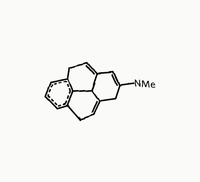 CNC1=CC2=CCc3cccc4c3C2C(=CC4)C1